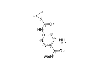 CNC(=O)c1nnc(NC(=O)C2CC2)cc1N